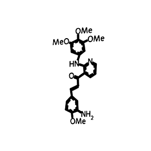 COc1ccc(/C=C/C(=O)c2cccnc2Nc2cc(OC)c(OC)c(OC)c2)cc1N